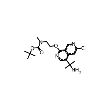 CN(CCOc1ncc(C(C)(C)N)c2cc(Cl)ncc12)C(=O)OC(C)(C)C